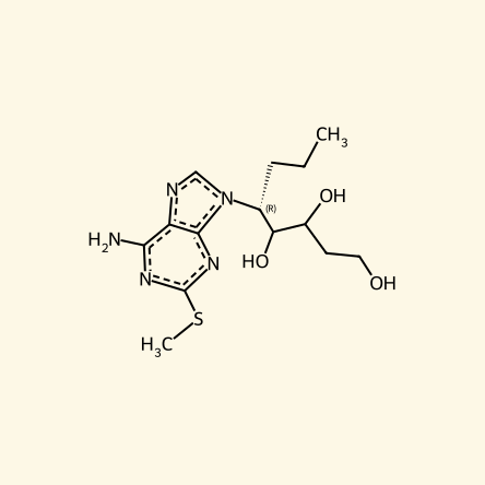 CCC[C@H](C(O)C(O)CCO)n1cnc2c(N)nc(SC)nc21